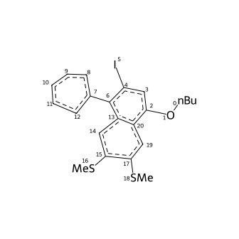 CCCCOc1cc(I)c(-c2ccccc2)c2cc(SC)c(SC)cc12